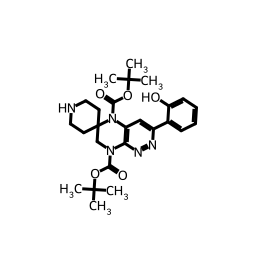 CC(C)(C)OC(=O)N1CC2(CCNCC2)N(C(=O)OC(C)(C)C)c2cc(-c3ccccc3O)nnc21